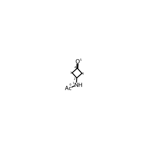 CC(=O)NC1CC(=O)C1